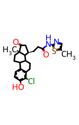 Cc1cnc(NC(=O)CC[C@@H]2CC(=O)[C@@]3(C)CCC4c5ccc(O)c(Cl)c5CCC4C23)s1